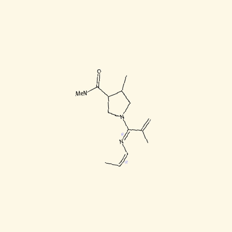 C=C(C)/C(=N\C=C/C)N1CC(C)C(C(=O)NC)C1